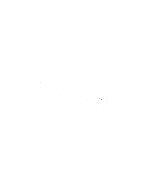 O=C1[C]Cc2cc(-c3ccc(OC(F)(F)F)cc3)ccc2N1